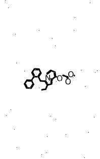 CCc1cc2c(OCC(=O)OC)cccn2c1Cc1ccccc1-c1ccccc1